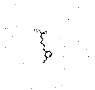 NC(=O)CCCC[CH]c1cccc(Br)c1